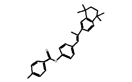 CC(=Cc1ccc(OC(=O)c2ccc(C)cc2)cc1)c1ccc2c(c1)C(C)(C)CCC2(C)C